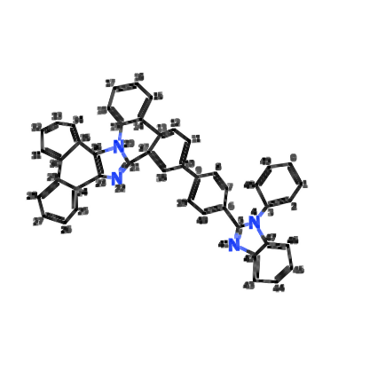 c1ccc(-n2c(-c3ccc(-c4ccc5c6ccccc6n6c(nc7c8ccccc8c8ccccc8c76)c5c4)cc3)nc3ccccc32)cc1